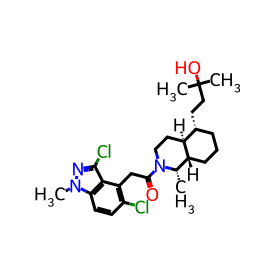 C[C@H]1[C@H]2CCC[C@@H](CCC(C)(C)O)[C@@H]2CCN1C(=O)Cc1c(Cl)ccc2c1c(Cl)nn2C